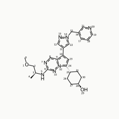 COC[C@H](C)Nc1ncc2c(-c3cnn(Cc4cccnc4)c3)cc([C@H]3CC[C@H](O)CC3)n2n1